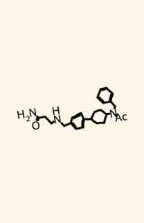 CC(=O)N(Cc1ccccc1)C1CCC(c2ccc(CNCCC(N)=O)cc2)CC1